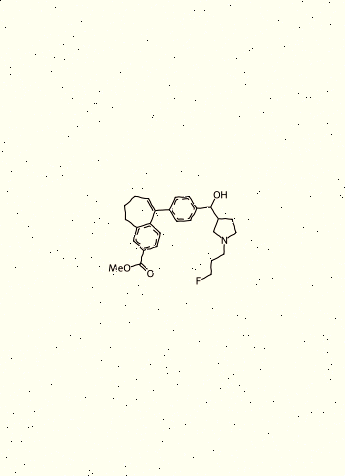 COC(=O)c1ccc2c(c1)CCCC=C2c1ccc(C(O)C2CCN(CCCF)C2)cc1